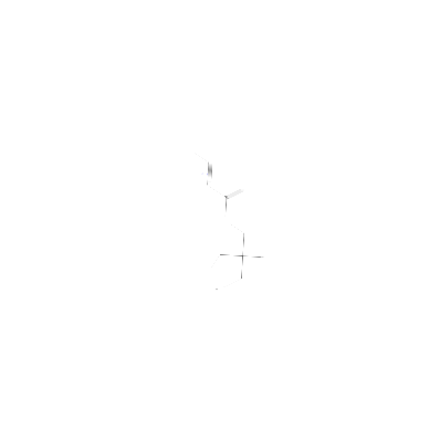 CCC(CO)(CO)COC(=O)/C=C/C(=O)O